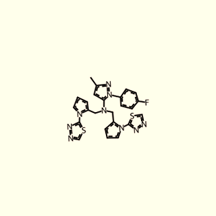 Cc1cc(N(Cc2cccn2-c2nncs2)Cc2cccn2-c2nncs2)n(-c2ccc(F)cc2)n1